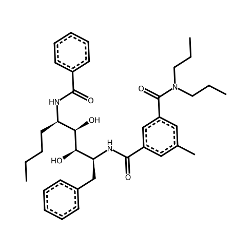 CCCC[C@@H](NC(=O)c1ccccc1)[C@@H](O)[C@H](O)[C@H](Cc1ccccc1)NC(=O)c1cc(C)cc(C(=O)N(CCC)CCC)c1